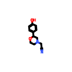 N#CCN1CCOC(c2ccc(O)cc2)C1